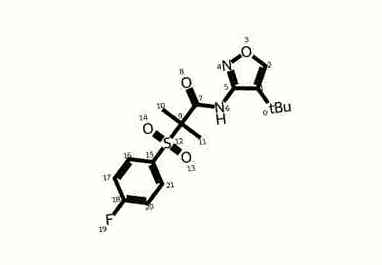 CC(C)(C)c1conc1NC(=O)C(C)(C)S(=O)(=O)c1ccc(F)cc1